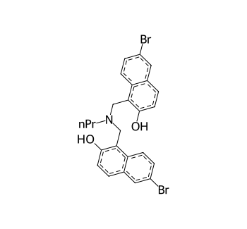 CCCN(Cc1c(O)ccc2cc(Br)ccc12)Cc1c(O)ccc2cc(Br)ccc12